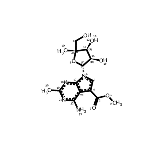 COC(=O)c1cn([C@@H]2O[C@](C)(CO)[C@@H](O)[C@H]2O)c2nc(C)nc(N)c12